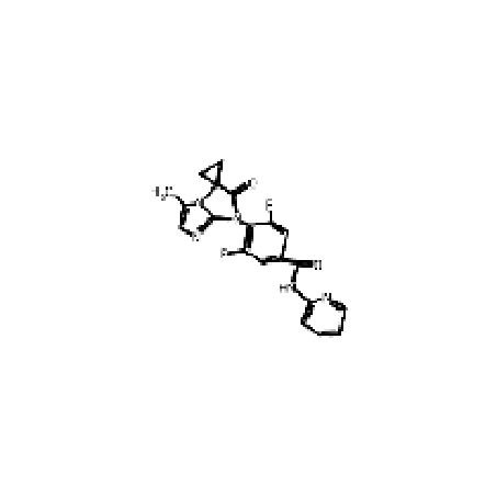 Cc1cnc2n1C1(CC1)C(=O)N2c1c(F)cc(C(=O)Nc2ccccn2)cc1F